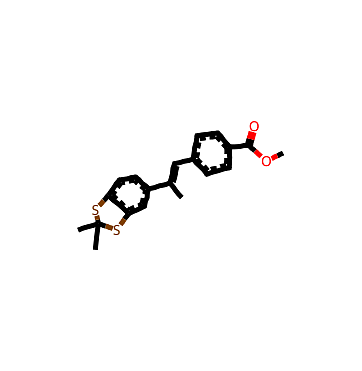 COC(=O)c1ccc(C=C(C)c2ccc3c(c2)SC(C)(C)S3)cc1